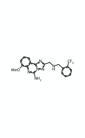 COc1cccc2c1nc(N)n1nc(CNCc3ccccc3C(F)(F)F)nc21